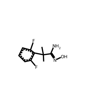 CC(C)(C(N)=NO)c1c(F)cccc1F